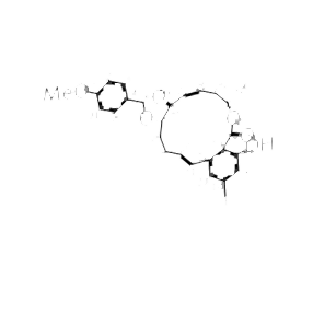 COc1ccc(CO[C@H]2CC/C=C/c3cc(C)cc(O)c3C(=O)O[C@@H](C)C/C=C\C2=O)cc1